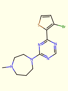 CN1CCCN(c2ncnc(-c3sccc3Br)n2)CC1